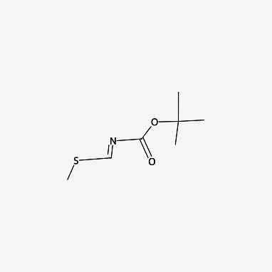 CSC=NC(=O)OC(C)(C)C